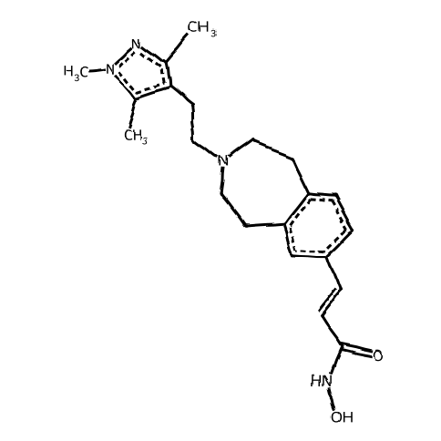 Cc1nn(C)c(C)c1CCN1CCc2ccc(C=CC(=O)NO)cc2CC1